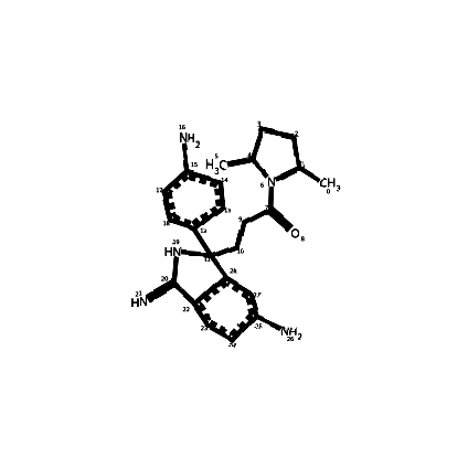 CC1CCC(C)N1C(=O)CCC1(c2ccc(N)cc2)NC(=N)c2ccc(N)cc21